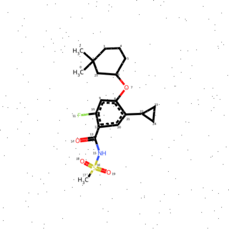 CC1(C)CCCC(Oc2cc(F)c(C(=O)NS(C)(=O)=O)cc2C2CC2)C1